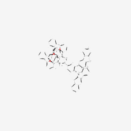 c1ccc(-n2c3ccccc3c3cccc(-c4nc(-c5ccc(-n6c7ccccc7c7cc8ccccc8cc76)c(-c6ccc7sc8ccccc8c7c6)c5)nc(-c5cccc6c7ccccc7n(-c7ccccc7)c56)n4)c32)cc1